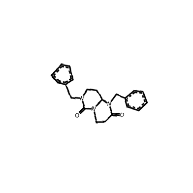 O=C1CCN2C(=O)N(Cc3ccccc3)CCC2N1Cc1ccccc1